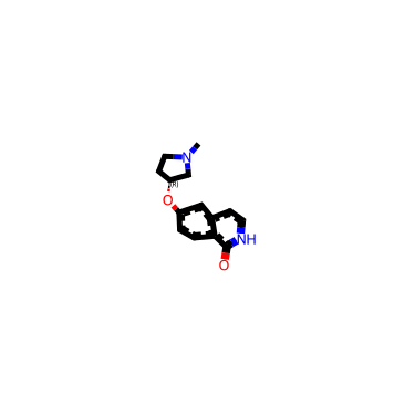 CN1CC[C@@H](Oc2ccc3c(=O)[nH]ccc3c2)C1